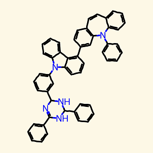 C1=Cc2ccc(-c3cccc4c3c3ccccc3n4-c3cccc(C4N=C(c5ccccc5)NC(c5ccccc5)N4)c3)cc2N(c2ccccc2)c2ccccc21